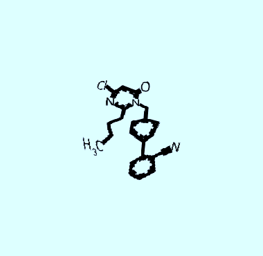 CCCCc1nc(Cl)cc(=O)n1Cc1ccc(-c2ccccc2C#N)cc1